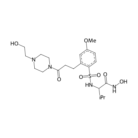 COc1ccc(S(=O)(=O)NC(C(=O)NO)C(C)C)c(CCC(=O)N2CCN(CCO)CC2)c1